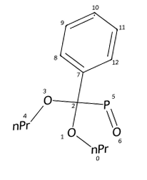 CCCOC(OCCC)(P=O)c1cc[c]cc1